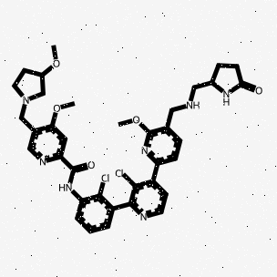 COc1cc(C(=O)Nc2cccc(-c3nccc(-c4ccc(CNCC5CCC(=O)N5)c(OC)n4)c3Cl)c2Cl)ncc1CN1CCC(OC)C1